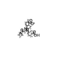 COC(=O)N1c2ccc3c(nc(CC(=O)N4CCCC4)n3[C@@H]3CCC[C@@H](C(=O)O)C3)c2CCC1C